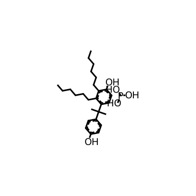 CCCCCCc1c(O)ccc(C(C)(C)c2ccc(O)cc2)c1CCCCCC.OP(O)O